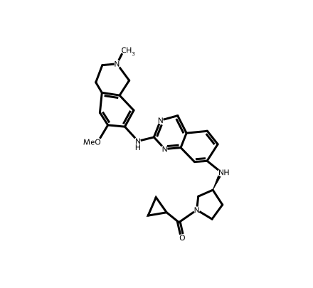 COc1cc2c(cc1Nc1ncc3ccc(N[C@H]4CCN(C(=O)C5CC5)C4)cc3n1)CN(C)CC2